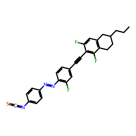 CCCC1CCc2c(cc(F)c(C#Cc3ccc(N=Nc4ccc(N=C=S)cc4)c(F)c3)c2F)C1